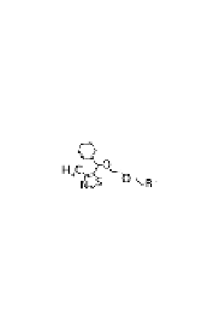 Cc1ncsc1C(OCCOCCBr)c1ccccc1